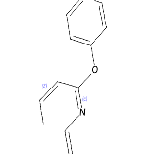 C=C/N=C(\C=C/C)Oc1ccccc1